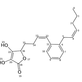 CCC/C=C\Cc1ccccc1/C=C\CCC1OC(=O)C(O)=C1O